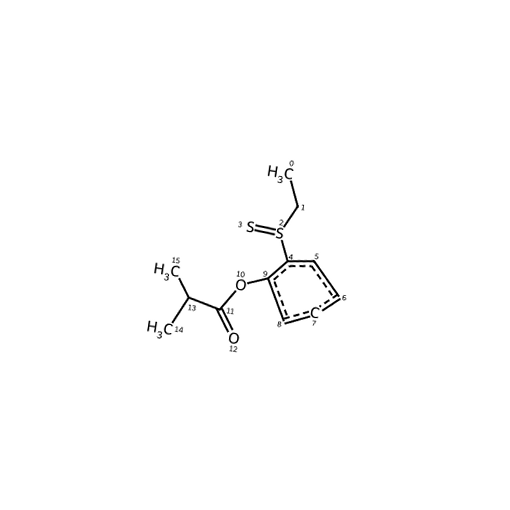 CCS(=S)c1ccccc1OC(=O)C(C)C